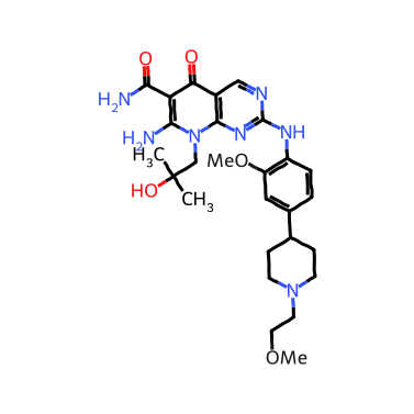 COCCN1CCC(c2ccc(Nc3ncc4c(=O)c(C(N)=O)c(N)n(CC(C)(C)O)c4n3)c(OC)c2)CC1